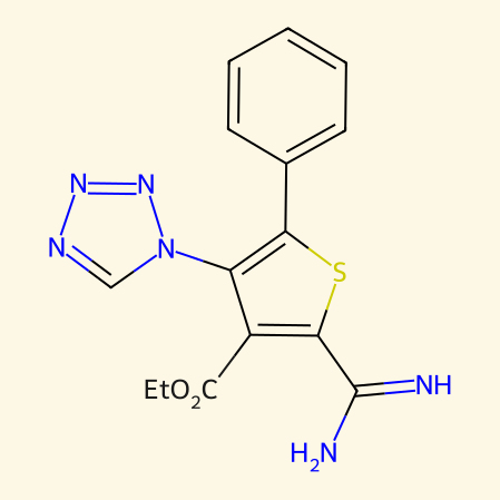 CCOC(=O)c1c(C(=N)N)sc(-c2ccccc2)c1-n1cnnn1